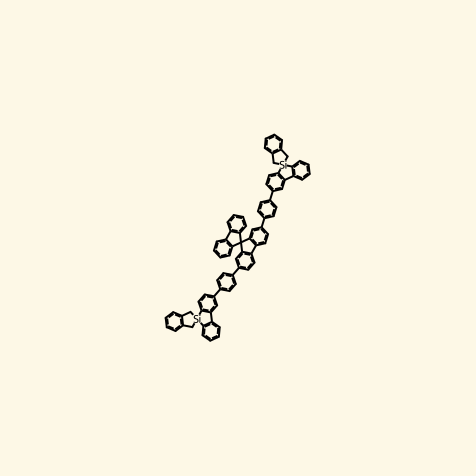 c1ccc2c(c1)C[Si]1(C2)c2ccccc2-c2cc(-c3ccc(-c4ccc5c(c4)C4(c6ccccc6-c6ccccc64)c4cc(-c6ccc(-c7ccc8c(c7)-c7ccccc7[Si]87Cc8ccccc8C7)cc6)ccc4-5)cc3)ccc21